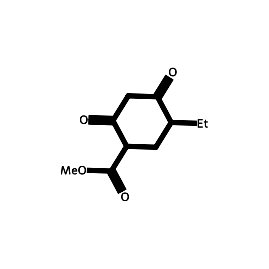 CCC1CC(C(=O)OC)C(=O)CC1=O